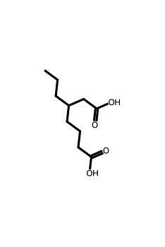 CCCC(CCCC(=O)O)CC(=O)O